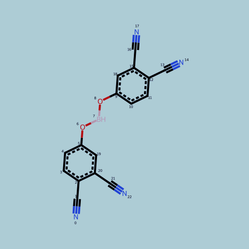 N#Cc1ccc(OBOc2ccc(C#N)c(C#N)c2)cc1C#N